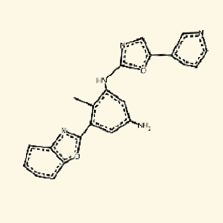 Cc1c(Nc2ncc(-c3cccnc3)o2)cc(N)cc1-c1nc2ccccc2o1